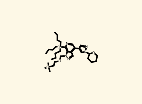 CCC[CH2][Sn]([CH2]CCC)([CH2]CCC)[c]1ncc(-c2cnn(C3CCCCO3)c2)c2cnn(COCC[Si](C)(C)C)c12